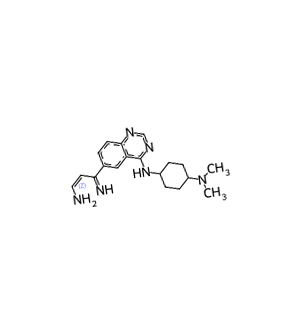 CN(C)C1CCC(Nc2ncnc3ccc(C(=N)/C=C\N)cc23)CC1